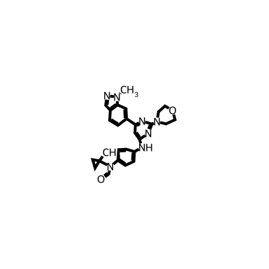 Cn1ncc2ccc(-c3cc(Nc4ccc(N(C=O)C5(C)CC5)cc4)nc(N4CCOCC4)n3)cc21